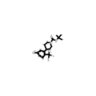 CC(C)(C)OC(=O)N1CCC(c2cc(Cl)ccc2C(F)(F)F)CC1